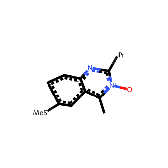 CSc1ccc2nc(C(C)C)[n+]([O-])c(C)c2c1